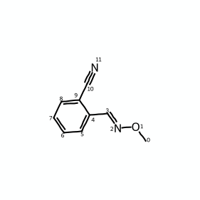 CO/N=C/c1ccccc1C#N